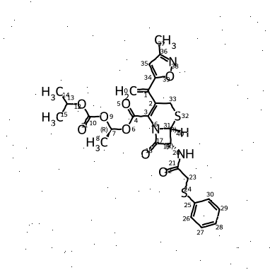 C=C(C1=C(C(=O)O[C@@H](C)OC(=O)OC(C)C)N2C(=O)[C@@H](NC(=O)CSc3ccccc3)[C@H]2SC1)c1cc(C)no1